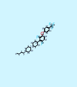 CCCC[C@H]1CC[C@H](C2CCC(c3c(F)c[c]c(Oc4ccc(C(F)(F)F)cc4)c3F)CC2)CC1